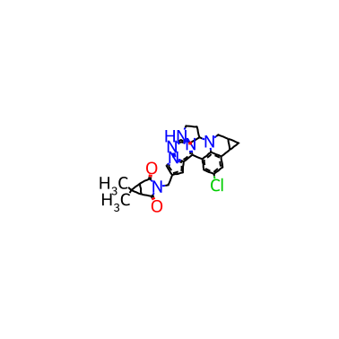 CC1(C)C2C(=O)N(Cc3cc4c(-c5cc(Cl)cc6c5N(C5CCNC5)CC5CC65)ncnn4c3)C(=O)C21